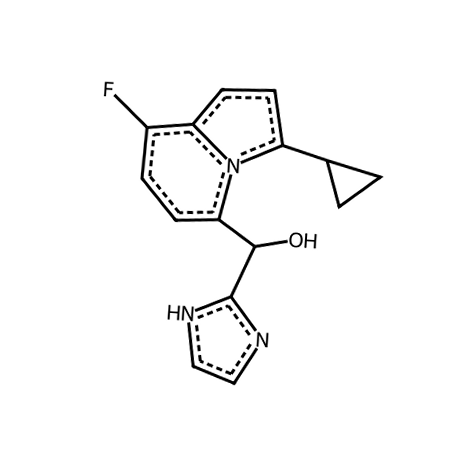 OC(c1ncc[nH]1)c1ccc(F)c2ccc(C3CC3)n12